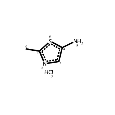 Cc1ncc(N)s1.Cl